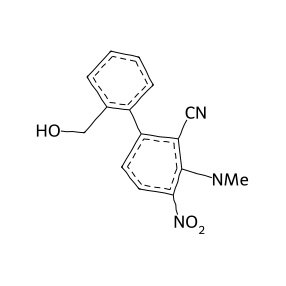 CNc1c([N+](=O)[O-])ccc(-c2ccccc2CO)c1C#N